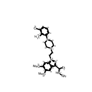 CCCNC(CC)c1nn(CCN2CCN(c3cccc(Cl)c3C)CC2)c2cc(OC)c(OC)cc12